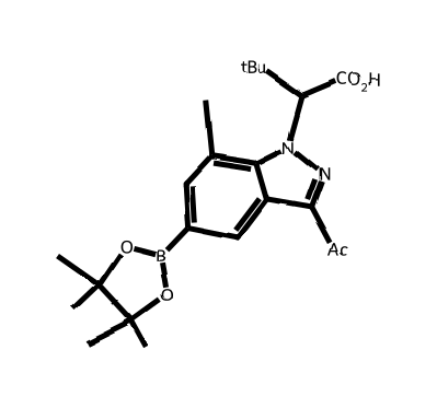 CC(=O)c1nn(C(C(=O)O)C(C)(C)C)c2c(C)cc(B3OC(C)(C)C(C)(C)O3)cc12